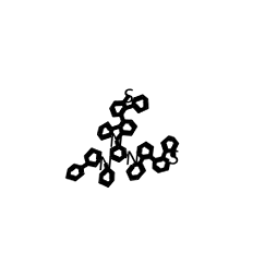 c1ccc(-c2cccc(N(c3ccccc3)c3cc(-n4c5ccccc5c5c(-c6cccc7sc8ccccc8c67)cccc54)cc(-n4c5ccccc5c5c(-c6cccc7sc8ccccc8c67)cccc54)c3)c2)cc1